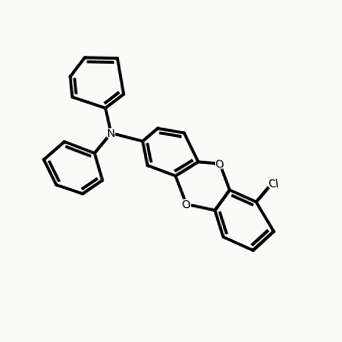 Clc1cccc2c1Oc1ccc(N(c3ccccc3)c3ccccc3)cc1O2